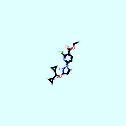 CCOC(=O)c1ccc(N2C=CC(OC(C3CC3)C3CC3)N2)nc1Cl